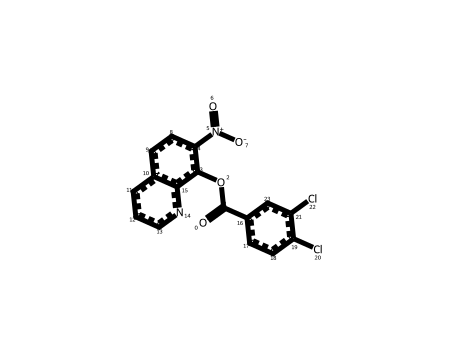 O=C(Oc1c([N+](=O)[O-])ccc2cccnc12)c1ccc(Cl)c(Cl)c1